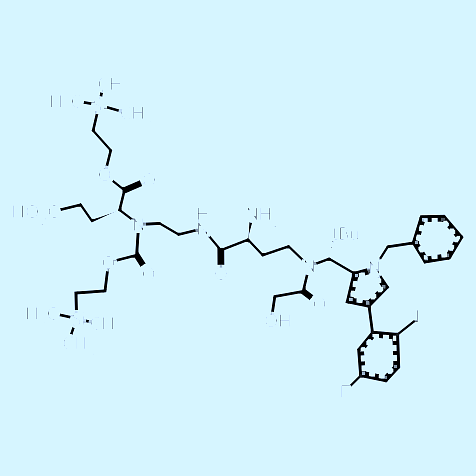 CC(C)(C)[C@H](c1cc(-c2cc(F)ccc2F)cn1Cc1ccccc1)N(CC[C@H](N)C(=O)NCCN(C(=O)OCC[Si](C)(C)C)[C@@H](CCC(=O)O)C(=O)OCC[Si](C)(C)C)C(=O)CO